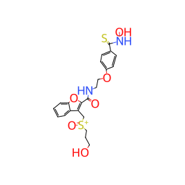 O=C(NCCOc1ccc(C(=S)NO)cc1)c1oc2ccccc2c1C[S+]([O-])CCCO